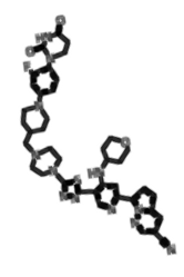 N#Cc1cnn2c(-c3cc(NC4CCOCC4)c(-c4nnc(N5CCN(CC6CCN(c7ccc(N8CCC(=O)NC8=O)c(F)c7)CC6)CC5)s4)cn3)ccc2c1